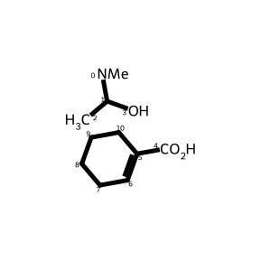 CNC(C)O.O=C(O)C1=CCCCC1